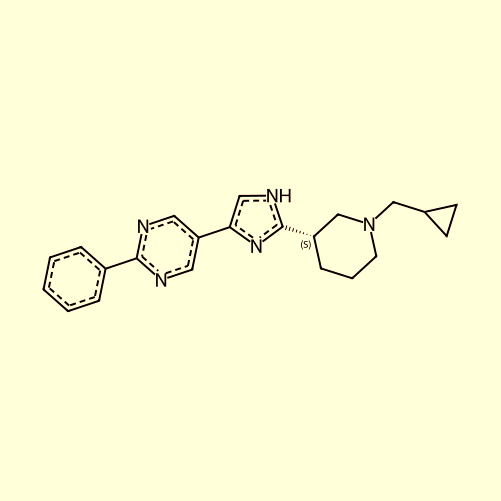 c1ccc(-c2ncc(-c3c[nH]c([C@H]4CCCN(CC5CC5)C4)n3)cn2)cc1